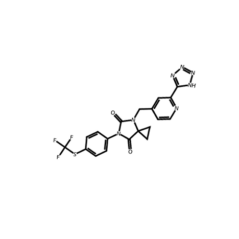 O=C1N(c2ccc(SC(F)(F)F)cc2)C(=O)C2(CC2)N1Cc1ccnc(-c2nnn[nH]2)c1